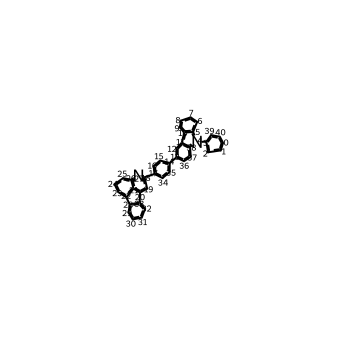 c1ccc(-n2c3ccccc3c3cc(-c4ccc(-c5cc6c7c(cccc7n5)-c5ccccc5-6)cc4)ccc32)cc1